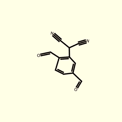 N#CC(C#N)c1cc(C=O)ccc1C=O